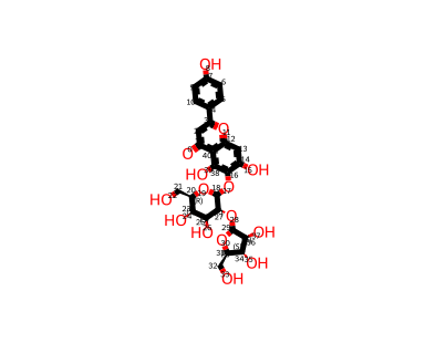 O=c1cc(-c2ccc(O)cc2)oc2cc(O)c(OC3O[C@H](CO)[C@@H](O)[C@H](O)[C@H]3OC3O[C@H](CO)[C@@H](O)[C@@H]3O)c(O)c12